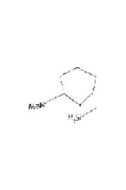 CNC1CCCCC1.C[SiH3]